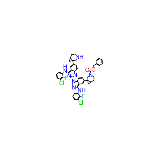 Fc1c(Cl)cccc1Nc1ncnc2ccc(C34CNCCC3C4)cc12.O=C(OCc1ccccc1)N1CCC2CC2(c2ccc3ncnc(Nc4cccc(Cl)c4F)c3c2)C1